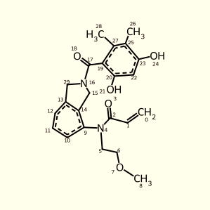 C=CC(=O)N(CCOC)c1cccc2c1CN(C(=O)c1c(O)cc(O)c(C)c1C)C2